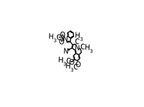 COC1=CC2=C3C(C#N)=C(c4cn(S(C)(=O)=O)c5ccccc45)C(C)N3C(C)CC2=CC1OC